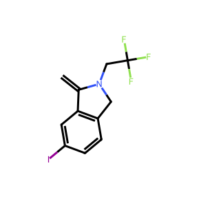 C=C1c2cc(I)ccc2CN1CC(F)(F)F